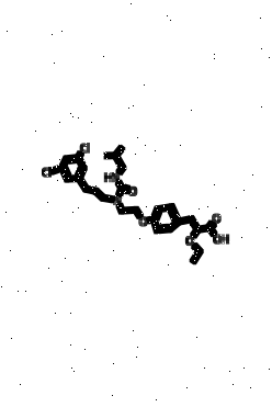 CCOC(Cc1ccc(OCCN(CCCc2cc(Cl)cc(Cl)c2)C(=O)NCC(C)C)cc1)C(=O)O